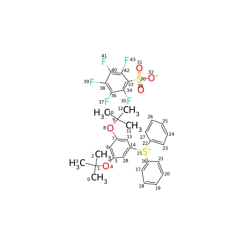 CC(C)(C)Oc1cc(OC(C)(C)C)cc([S+](c2ccccc2)c2ccccc2)c1.O=S(=O)([O-])c1c(F)c(F)c(F)c(F)c1F